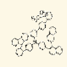 CC1(C)c2ccccc2-c2ccc(-c3cccc(N(c4ccc(-c5ccc6ccccc6c5C5=CC=C6C=CC=CC6C5)cc4)c4ccc5c(c4)C4(c6ccccc6-5)c5ccccc5C5C=CC=CC54)c3)cc21